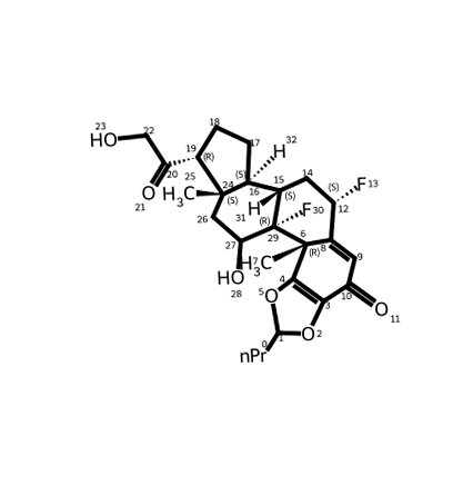 CCCC1OC2=C(O1)[C@@]1(C)C(=CC2=O)[C@@H](F)C[C@H]2[C@@H]3CC[C@@H](C(=O)CO)[C@@]3(C)CC(O)[C@@]21F